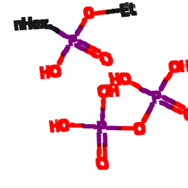 CCCCCCP(=O)(O)OCC.O=P(O)(O)OP(=O)(O)O